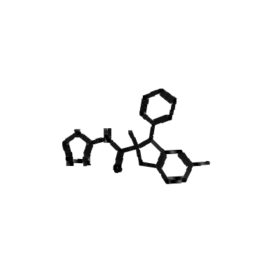 Cc1ccc2c(c1)C(c1ccccc1)C(C)(C(=O)Nc1nncs1)C2